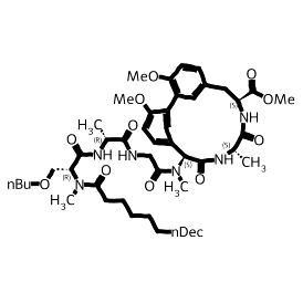 CCCCCCCCCCCCCCCC(=O)N(C)[C@H](COCCCC)C(=O)N[C@H](C)C(=O)NCC(=O)N(C)[C@@H]1C(=O)N[C@@H](C)C(=O)N[C@H](C(=O)OC)Cc2ccc(OC)c(c2)-c2cc1ccc2OC